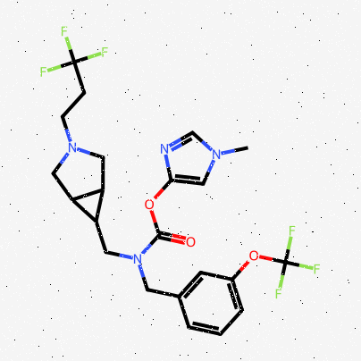 Cn1cnc(OC(=O)N(Cc2cccc(OC(F)(F)F)c2)CC2C3CN(CCC(F)(F)F)CC32)c1